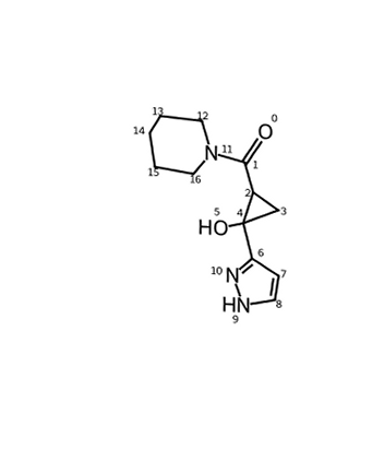 O=C(C1CC1(O)c1cc[nH]n1)N1CCCCC1